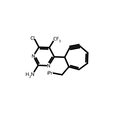 CC(C)CC1=CC=CC#CC1c1nc(N)nc(Cl)c1C(F)(F)F